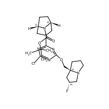 CC(C)(C)OC(=O)N1[C@@H]2CC[C@H]1CN(c1nc(Cl)nc(OC[C@@]34CCCN3C[C@H](F)C4)n1)C2